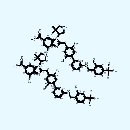 CC1(C)COCC1n1c(Cc2cc(F)c(-c3cccc(OCc4ccc(C(F)(F)F)cc4F)n3)cc2F)nc2c(F)cc(C(=O)O)cc21.CC1(C)COCC1n1c(Cc2cc(F)c(-c3cccc(OCc4ccc(C(F)(F)F)cc4F)n3)cc2F)nc2c(F)cc(C(=O)O)cc21